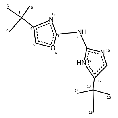 CC(C)(C)c1coc(Nc2ncc(C(C)(C)C)[nH]2)n1